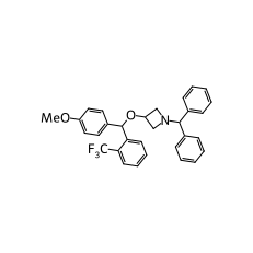 COc1ccc(C(OC2CN(C(c3ccccc3)c3ccccc3)C2)c2ccccc2C(F)(F)F)cc1